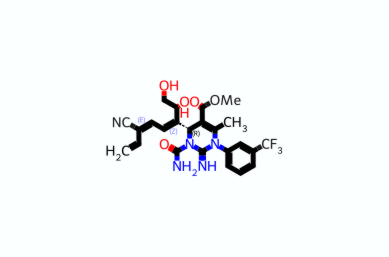 C=C/C(C#N)=C\C=C(/C(O)CO)[C@@H]1C(C(=O)OC)=C(C)N(c2cccc(C(F)(F)F)c2)C(=N)N1C(N)=O